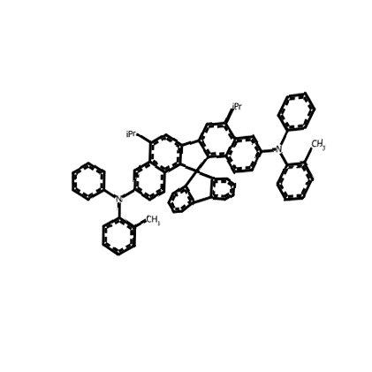 Cc1ccccc1N(c1ccccc1)c1ccc2c3c(cc(C(C)C)c2c1)-c1cc(C(C)C)c2cc(N(c4ccccc4)c4ccccc4C)ccc2c1C31c2ccccc2-c2ccccc21